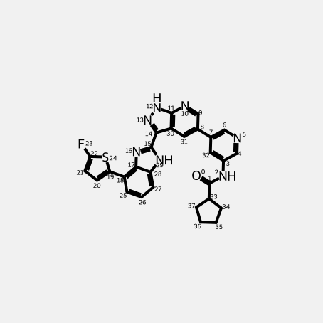 O=C(Nc1cncc(-c2cnc3[nH]nc(-c4nc5c(-c6ccc(F)s6)cccc5[nH]4)c3c2)c1)C1CCCC1